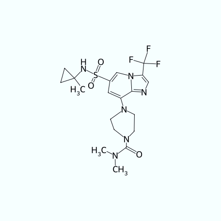 CN(C)C(=O)N1CCN(c2cc(S(=O)(=O)NC3(C)CC3)cn3c(C(F)(F)F)cnc23)CC1